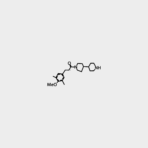 COc1c(C)cc(C[CH]C(=O)N2CCC(C3CCNCC3)CC2)cc1C